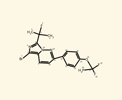 CC(C)(F)c1nc(Br)c2ccc(-c3ccc(OC(F)(F)P)cc3)nn12